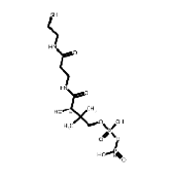 CC(C)(COP(=O)(O)O[PH](=O)O)[C@@H](O)C(=O)NCCC(=O)NCCS